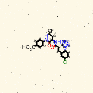 O=C(C=Cc1cc(Cl)ccc1-n1cnnn1)NC(CCC(F)(F)F)C(=O)Nc1ccc(C(=O)O)cc1